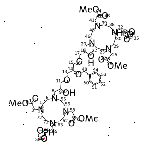 COC(=O)CN1CCN(CC(O)COCC(COCC(O)CN2CCN(CC(=O)OC)CCN(C[PH]34OC(O3)O4)CCN(CC(=O)OC)CC2)OCc2ccccc2)CCN(CC(=O)OC)CCN(C[PH]23OC(O2)O3)CC1